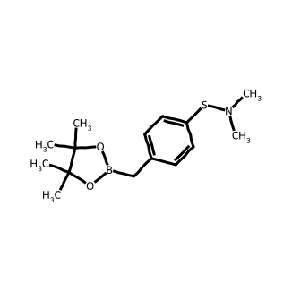 CN(C)Sc1ccc(CB2OC(C)(C)C(C)(C)O2)cc1